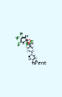 CCCCC[C@H]1CC[C@H](C2CC=C(C(F)(F)Oc3cc(F)c(F)c(F)c3)CC2)CC1